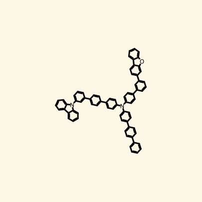 c1ccc(-c2ccc(-c3ccc(N(c4ccc(-c5ccc(-c6cccc(-n7c8ccccc8c8ccccc87)c6)cc5)cc4)c4ccc(-c5cccc(-c6ccc7c(c6)oc6ccccc67)c5)cc4)cc3)cc2)cc1